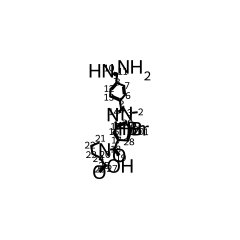 Br.Br.Cn1c(-c2ccc(C(=N)N)cc2)nc2cc(C(=O)N3CCCC3C(=O)O)ccc21